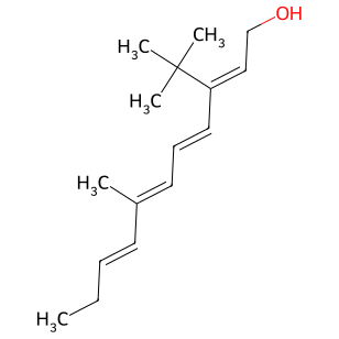 CC/C=C/C(C)=C/C=C/C(=C/CO)C(C)(C)C